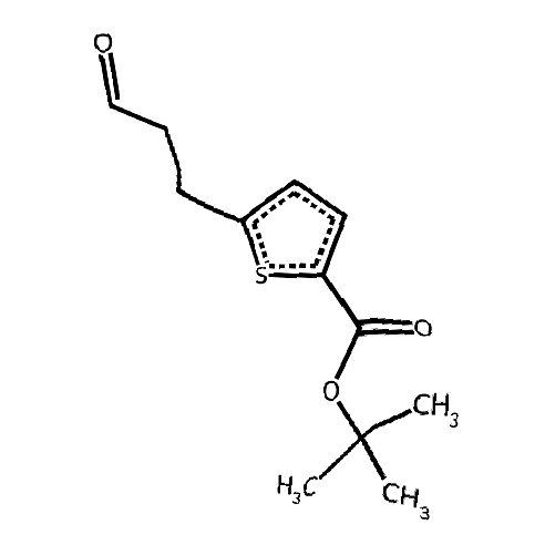 CC(C)(C)OC(=O)c1ccc(CCC=O)s1